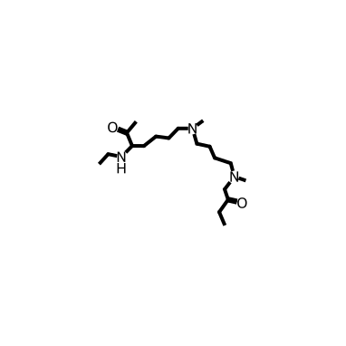 CCNC(CCCCN(C)CCCCN(C)CC(=O)CC)C(C)=O